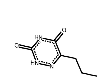 CCCc1n[nH]c(=O)[nH]c1=O